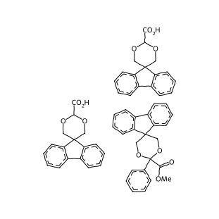 COC(=O)C1(c2ccccc2)OCC2(CO1)c1ccccc1-c1ccccc12.O=C(O)C1OCC2(CO1)c1ccccc1-c1ccccc12.O=C(O)C1OCC2(CO1)c1ccccc1-c1ccccc12